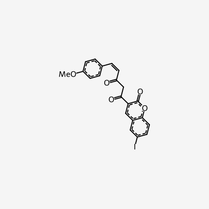 COc1ccc(/C=C\C(=O)CC(=O)c2cc3cc(I)ccc3oc2=O)cc1